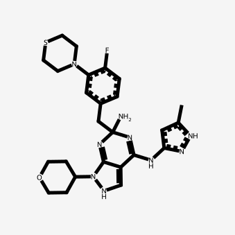 Cc1cc(NC2=NC(N)(Cc3ccc(F)c(N4CCSCC4)c3)N=C3C2=CNN3C2CCOCC2)n[nH]1